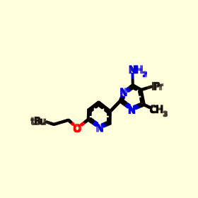 Cc1nc(-c2ccc(OCCC(C)(C)C)nc2)nc(N)c1C(C)C